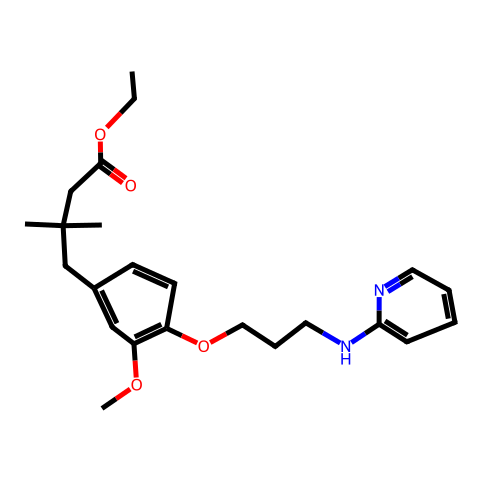 CCOC(=O)CC(C)(C)Cc1ccc(OCCCNc2ccccn2)c(OC)c1